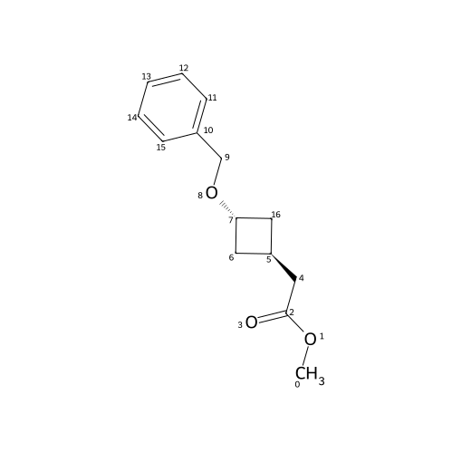 COC(=O)C[C@H]1C[C@H](OCc2ccccc2)C1